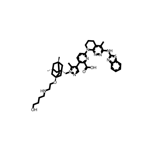 Cc1c(Nc2nc3ccccc3s2)nnc2c1CCCN2c1ccc(-c2cnn(C[C@]34C[C@]5(C)C[C@](C)(C3)C[C@@](OCCNCCCCO)(C5)C4)c2C)c(C(=O)O)n1